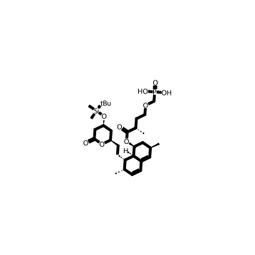 C[C@H]1C=C2C=C[C@H](C)[C@H](CC[C@@H]3C[C@@H](O[Si](C)(C)C(C)(C)C)CC(=O)O3)[C@H]2[C@@H](OC(=O)[C@@H](C)CCOCP(=O)(O)O)C1